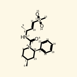 C[C@H]1CCN(C(=O)N[C@H](C)/C=C/S(C)(=O)=O)[C@@H](c2ccccc2)C1